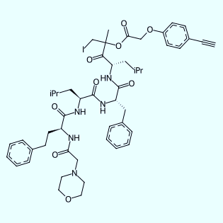 C#Cc1ccc(OCC(=O)OC(C)(CI)C(=O)[C@H](CC(C)C)NC(=O)[C@H](Cc2ccccc2)NC(=O)[C@H](CC(C)C)NC(=O)[C@H](CCc2ccccc2)NC(=O)CN2CCOCC2)cc1